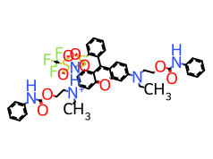 CCN(CCOC(=O)Nc1ccccc1)c1ccc2c(-c3ccccc3S(=O)(=O)NS(=O)(=O)C(F)(F)F)c3cc/c(=[N+](/CC)CCOC(=O)Nc4ccccc4)cc-3oc2c1